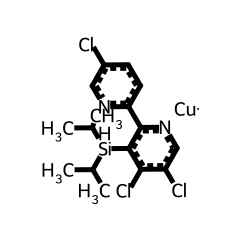 CC(C)[SiH](c1c(-c2ccc(Cl)cn2)ncc(Cl)c1Cl)C(C)C.[Cu]